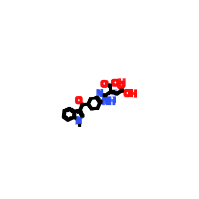 Cn1cc(C(=O)C2CCc3[nH]c(/C(=C/C(=O)O)C(=O)O)nc3C2)c2ccccc21